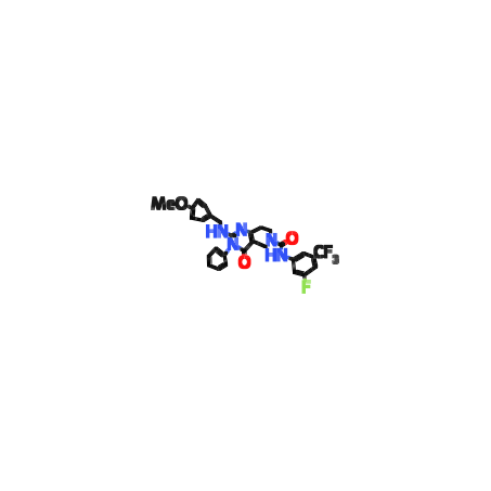 COc1ccc(CNc2nc3c(c(=O)n2-c2ccccc2)CN(C(=O)Nc2cc(F)cc(C(F)(F)F)c2)CC3)cc1